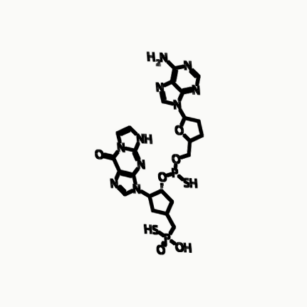 Nc1ncnc2c1ncn2C1CCC(COP(S)O[C@@H]2CC(CP(=O)(O)S)CC2n2cnc3c(=O)n4cc[nH]c4nc32)O1